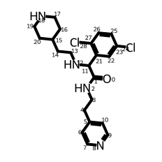 O=C(NCCc1ccncc1)C(NCCC1CCNCC1)c1cc(Cl)ccc1Cl